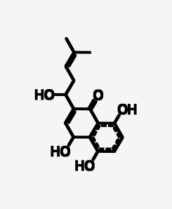 CC(C)=CCC(O)C1=CC(O)c2c(O)ccc(O)c2C1=O